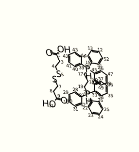 O=C(O)CCSSCCC(=O)O.c1ccc([PH](CCC[PH](c2ccccc2)(c2ccccc2)c2ccccc2)(c2ccccc2)c2ccccc2)cc1